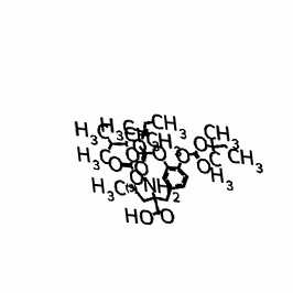 CCC(C)(C)OC(=O)Oc1ccc(CC(N)(C[C@H](C)OC(=O)OC(C)C(C)C)C(=O)O)cc1OC(=O)OC(C)(C)CC